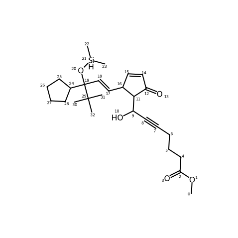 COC(=O)CCCC#CC(O)C1C(=O)C=CC1C=CC(O[SiH](C)C)(C1CCCC1)C(C)(C)C